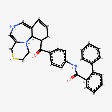 O=C(Nc1ccc(C(=O)C2CC=CC3=CNC=C4CSCCN4C32)cc1)c1ccccc1-c1ccccc1